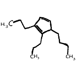 CCCCC1C=CC(CCC)=C1CCC